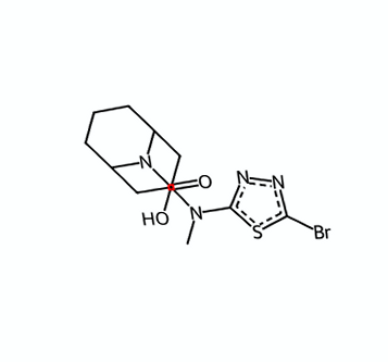 CN(c1nnc(Br)s1)C1CC2CCCC(C1)N2C(=O)O